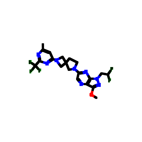 COc1nn(CC(F)F)c2nc(N3CCC4(CN(c5cc(C)nc(C(F)(F)F)n5)C4)C3)cnc12